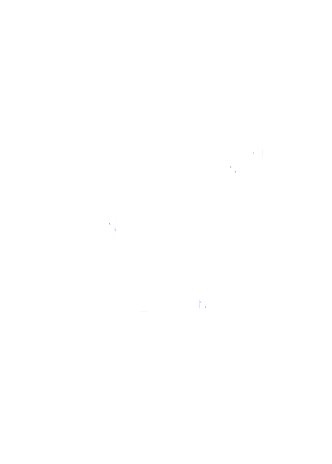 Cc1c(C2(CN)CCC(c3cccs3)(N(C)C)CC2)[nH]c2ccccc12